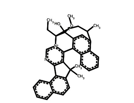 CCC12CCC(C)c3cc(c(c4ccccc34)-c3c4c(nc[n+]31)-c1c(ccc3ccccc13)C4(C)C)C2(O)OC